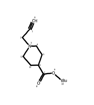 C#CCN1CCC(C(=O)OC(C)(C)C)CC1